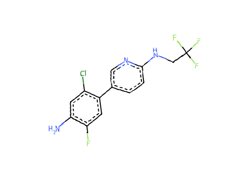 Nc1cc(Cl)c(-c2ccc(NCC(F)(F)F)nc2)cc1F